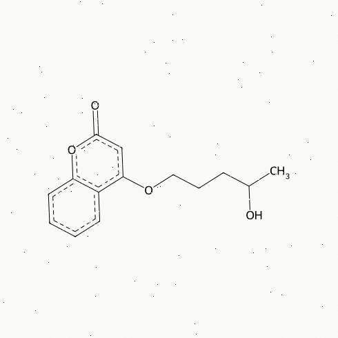 CC(O)CCCOc1cc(=O)oc2ccccc12